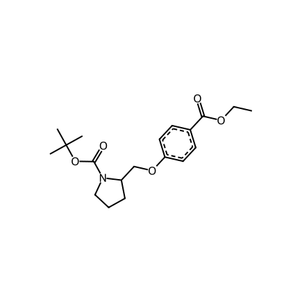 CCOC(=O)c1ccc(OCC2CCCN2C(=O)OC(C)(C)C)cc1